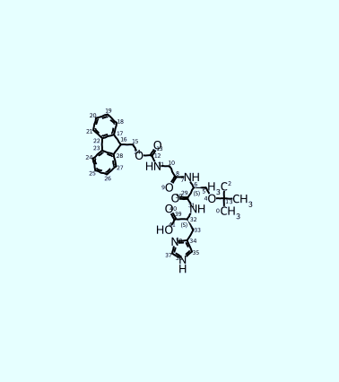 CC(C)(C)OC[C@H](NC(=O)CNC(=O)OCC1c2ccccc2-c2ccccc21)C(=O)N[C@@H](Cc1c[nH]cn1)C(=O)O